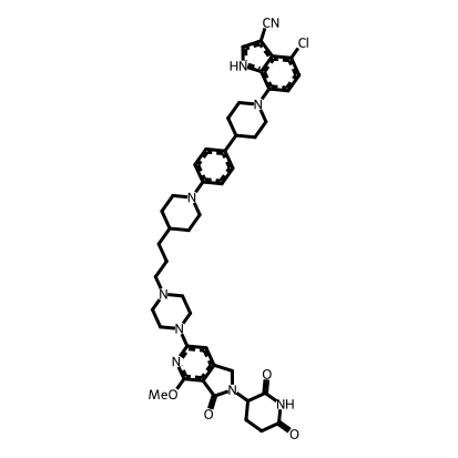 COc1nc(N2CCN(CCCC3CCN(c4ccc(C5CCN(c6ccc(Cl)c7c(C#N)c[nH]c67)CC5)cc4)CC3)CC2)cc2c1C(=O)N(C1CCC(=O)NC1=O)C2